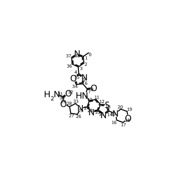 Cc1cc(-c2nc(C(=O)Nc3cc4sc(N5CCOCC5)nc4nc3N3CCC(OC(N)=O)C3)co2)ccn1